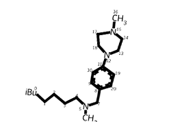 CCC(C)CCCCN(C)Cc1ccc(N2CCN(C)CC2)cc1